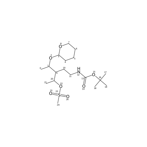 CC(OC1CCCCO1)C(CCNC(=O)OC(C)(C)C)C(C)OS(C)(=O)=O